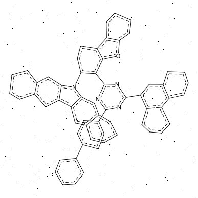 c1ccc(-c2ccc(-c3nc(-c4cc5ccccc5c5ccccc45)nc(-c4c(-n5c6cc7ccccc7cc6c6cc7ccccc7cc65)ccc5c4oc4ccccc45)n3)cc2)cc1